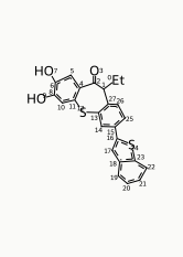 CCC1C(=O)c2cc(O)c(O)cc2Sc2cc(-c3cc4ccccc4s3)ccc21